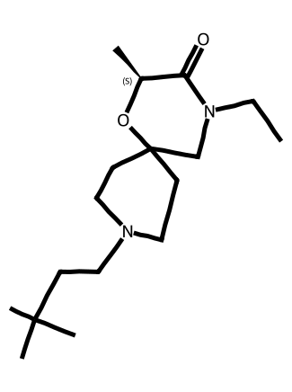 CCN1CC2(CCN(CCC(C)(C)C)CC2)O[C@@H](C)C1=O